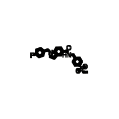 CCS(=O)(=O)c1ccc(CNC(=O)c2ccc3c(ccn3Cc3ccc(F)cc3)c2)cc1